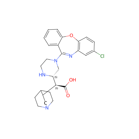 O=C(O)[C@@H](C1CN2CCC1CC2)[C@H]1CN(C2=Nc3cc(Cl)ccc3Oc3ccccc32)CCN1